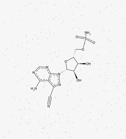 N#Cc1nn([C@@H]2O[C@H](COS(N)(=O)=O)[C@@H](O)[C@H]2O)c2ncnc(N)c12